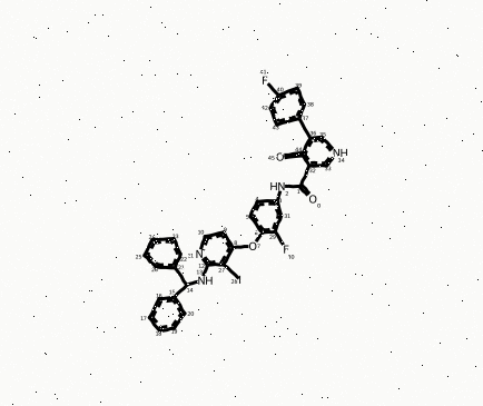 O=C(Nc1ccc(Oc2ccnc(NC(c3ccccc3)c3ccccc3)c2I)c(F)c1)c1c[nH]cc(-c2ccc(F)cc2)c1=O